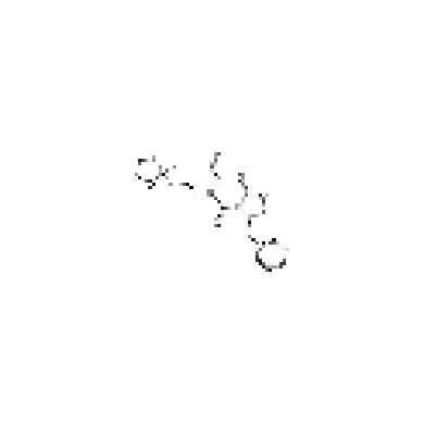 C=CC[C@@H](CCCC1(C)OCCO1)C(=O)N1C(=O)OCC1Cc1ccccc1